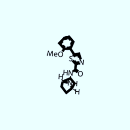 COc1ccccc1-c1cnc(C(=O)N[C@@H]2C[C@H]3CC[C@@H]2N3)s1